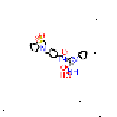 O=C(N[C@@H]1CN(c2ccccc2)C[C@@H]1C(=O)NO)c1ccc(CN2CCS(=O)(=O)c3ccccc32)cc1